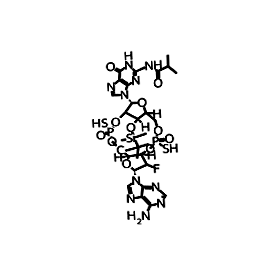 CC(C)C(=O)Nc1nc2c(ncn2[C@@H]2O[C@@H]3COP(=O)(S)O[C@@H]4C(F)[C@H](n5cnc6c(N)ncnc65)O[C@@H]4COP(=O)(S)OC2[C@H]3O[Si](C)(C)C(C)(C)C)c(=O)[nH]1